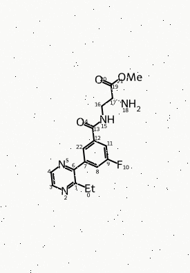 CCc1nccnc1-c1cc(F)cc(C(=O)NC[C@@H](N)C(=O)OC)c1